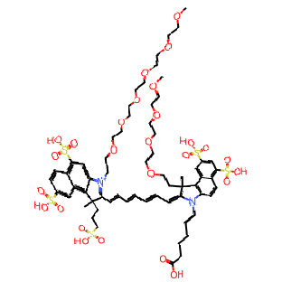 COCCOCCOCCOCCOCCOCC[N+]1=C(/C=C/C=C/C=C/C=C2/N(CCCCCC(=O)O)c3ccc4c(S(=O)(=O)O)cc(S(=O)(=O)O)cc4c3C2(C)CCOCCOCCOCCOC)C(C)(CCCS(=O)(=O)O)c2c1cc(S(=O)(=O)O)c1ccc(S(=O)(=O)O)cc21